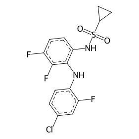 O=S(=O)(Nc1ccc(F)c(F)c1Nc1ccc(Cl)cc1F)C1CC1